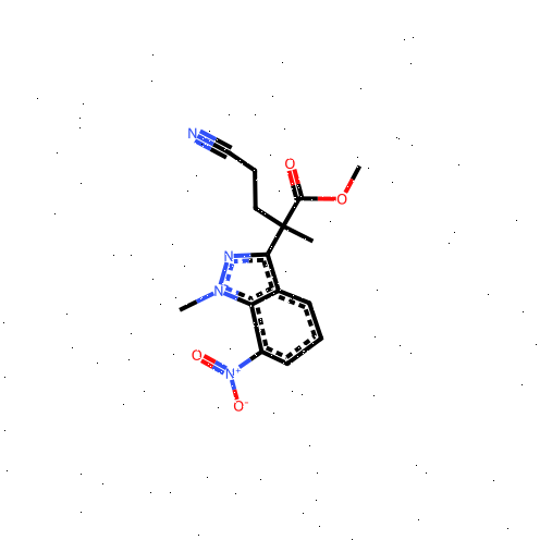 COC(=O)C(C)(CCC#N)c1nn(C)c2c([N+](=O)[O-])cccc12